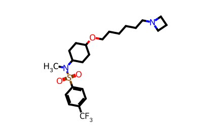 CN(C1CCC(OCCCCCCN2CCC2)CC1)S(=O)(=O)c1ccc(C(F)(F)F)cc1